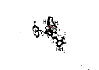 Cc1cc(N)cc(-c2nc3c4c(nc(OC[C@@]56CCCN5C[C@H](F)C6)nc4c2Cl)N2C[C@H]4CC[C@@H]([C@H]2[C@H](C)O3)N4C(=O)OC(C)(C)C)c1C(F)(F)F